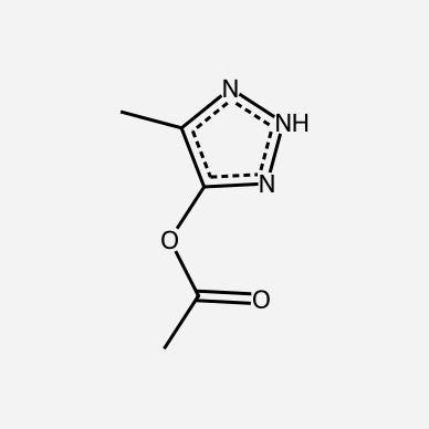 CC(=O)Oc1n[nH]nc1C